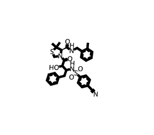 Cc1ccccc1CNC(=O)[C@H]1N(C(=O)C(O)C(Cc2ccccc2)NS(=O)(=O)c2ccc(C#N)cc2)CSC1(C)C